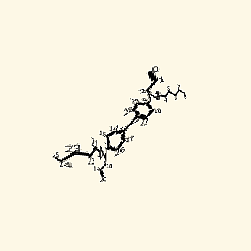 C=CCN(CCCCC)c1ccc(-c2ccc(N(CC=C)CCCCC)cc2)cc1